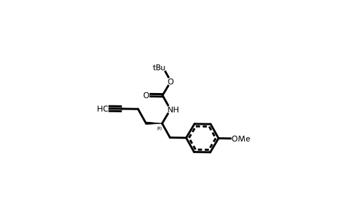 C#CCC[C@H](Cc1ccc(OC)cc1)NC(=O)OC(C)(C)C